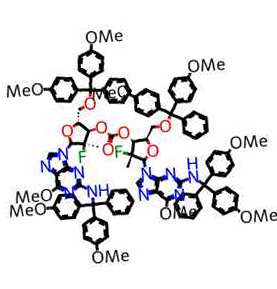 COc1ccc(C(Nc2nc(OC)c3ncn(C4O[C@H](COC(c5ccccc5)(c5ccc(OC)cc5)c5ccc(OC)cc5)[C@@H](OC(=O)O[C@@H]5[C@@H](COC(c6ccccc6)(c6ccc(OC)cc6)c6ccc(OC)cc6)OC(n6cnc7c(OC)nc(NC(c8ccccc8)(c8ccc(OC)cc8)c8ccc(OC)cc8)nc76)[C@]5(C)F)[C@@]4(C)F)c3n2)(c2ccccc2)c2ccc(OC)cc2)cc1